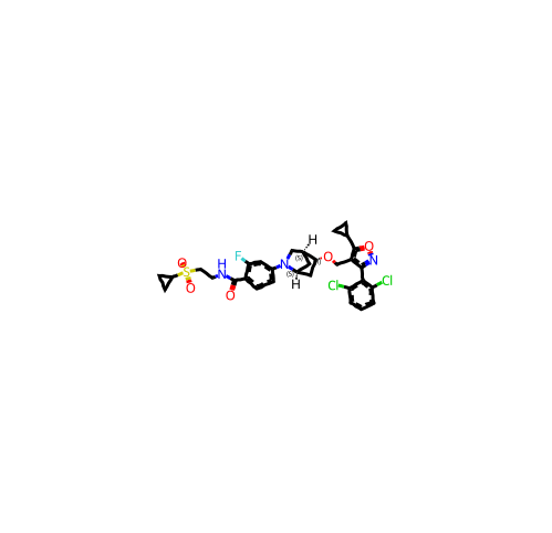 O=C(NCCS(=O)(=O)C1CC1)c1ccc(N2C[C@@H]3C[C@H]2C[C@H]3OCc2c(-c3c(Cl)cccc3Cl)noc2C2CC2)cc1F